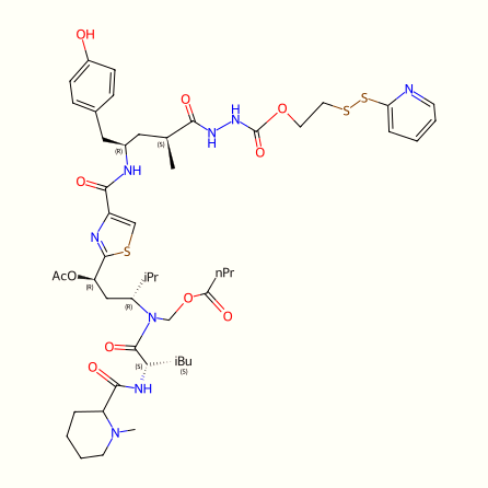 CCCC(=O)OCN(C(=O)[C@@H](NC(=O)C1CCCCN1C)[C@@H](C)CC)[C@H](C[C@@H](OC(C)=O)c1nc(C(=O)N[C@@H](Cc2ccc(O)cc2)C[C@H](C)C(=O)NNC(=O)OCCSSc2ccccn2)cs1)C(C)C